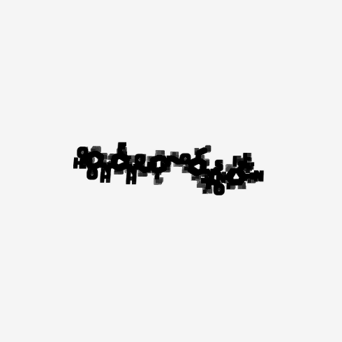 CCc1cc(N2C(=S)N(c3ccc(C#N)c(C(F)(F)F)c3)C(=O)C2(C)C)ccc1OCCN1CCN(CC(=O)Nc2cc(F)cc(NC3CCC(=O)NC3=O)c2)[C@H](C)C1